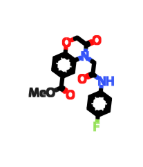 COC(=O)c1ccc2c(c1)N(CC(=O)Nc1ccc(F)cc1)C(=O)CO2